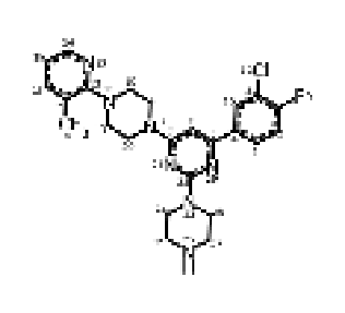 Fc1ccc(-c2cc(N3CCN(c4ncccc4C(F)(F)F)CC3)nc(N3CCNCC3)n2)cc1Cl